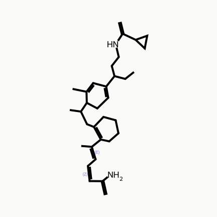 C=C(N)/C=C\C=C(/C)C1=C(CC(C)C2CC=C(C(CC)CCNC(=C)C3CC3)C=C2C)CCCC1